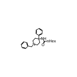 CCCCCCC(=O)NC1(c2ccccc2)CCN(Cc2ccccc2)CC1